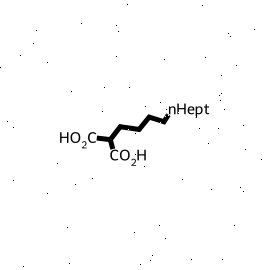 CCCCCCCCCCCC(C(=O)O)C(=O)O